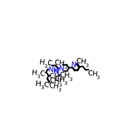 C=C(NC[C@H](C)C(=C)CC(C)(C)C)/C(C)=C(\N=C(C)C)N1CCC(c2ccc(CCCC)c(C)n2)CC1